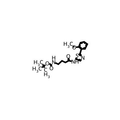 COc1ccccc1-c1ncc(NC(=O)CCCNC(=O)OC(C)(C)C)s1